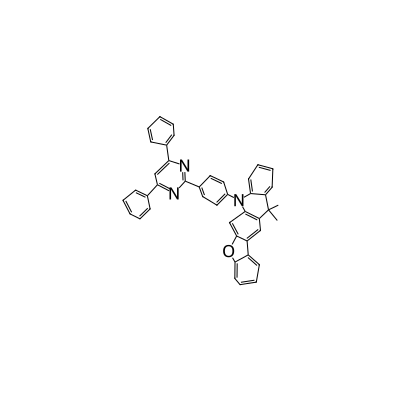 CC1(C)c2ccccc2N(c2ccc(-c3nc(-c4ccccc4)cc(-c4ccccc4)n3)cc2)c2cc3oc4ccccc4c3cc21